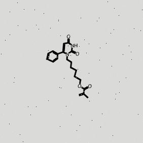 C=C(C)C(=O)OCCCCCCn1c(-c2ccccc2)cc(=O)[nH]c1=O